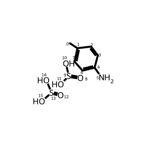 Cc1ccc(N)cc1.O=S(O)O.O=S(O)O